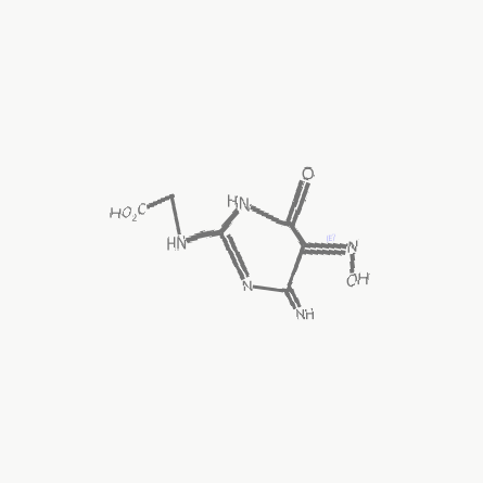 N=C1N=C(NCC(=O)O)NC(=O)/C1=N/O